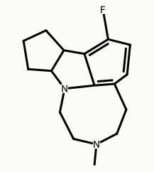 CN1CCc2ccc(F)c3c2N(CC1)C1CCCC31